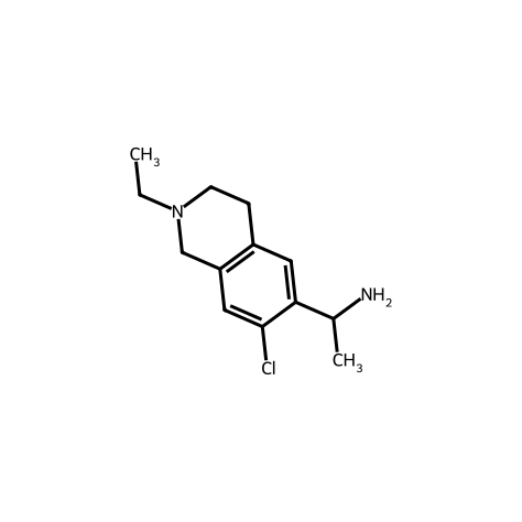 CCN1CCc2cc(C(C)N)c(Cl)cc2C1